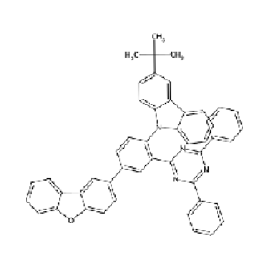 CC(C)(C)c1ccc2c(c1)c1ccccc1n2-c1ccc(-c2ccc3oc4ccccc4c3c2)cc1-c1nc(-c2ccccc2)nc(-c2ccccc2)n1